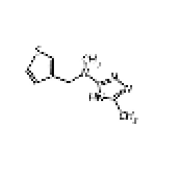 Cc1nnc(N(C)Cc2ccsc2)[nH]1